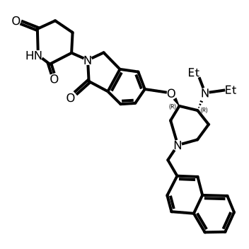 CCN(CC)[C@@H]1CCN(Cc2ccc3ccccc3c2)C[C@H]1Oc1ccc2c(c1)CN(C1CCC(=O)NC1=O)C2=O